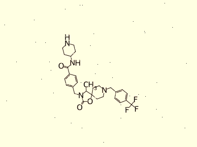 CC1N(Cc2ccc(C(=O)NC3CCNCC3)cc2)C(=O)OC12CCN(Cc1ccc(C(F)(F)F)cc1)CC2